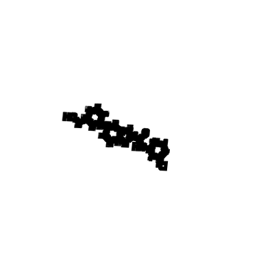 O=C(Nc1cc(Cl)ccn1)c1cn2cc(-c3cccc(CO)c3)ccc2n1